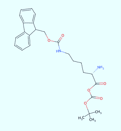 CC(C)(C)OC(=O)OC(=O)[C@@H](N)CCCCNC(=O)OCC1c2ccccc2-c2ccccc21